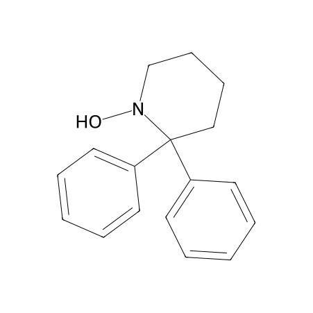 ON1CCCCC1(c1ccccc1)c1ccccc1